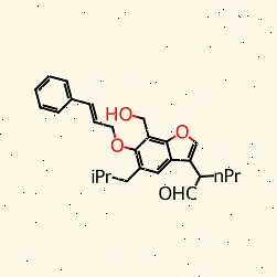 CCCC(C=O)c1coc2c(CO)c(OC/C=C/c3ccccc3)c(CC(C)C)cc12